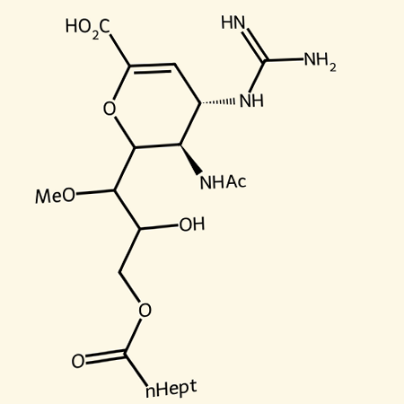 CCCCCCCC(=O)OCC(O)C(OC)C1OC(C(=O)O)=C[C@H](NC(=N)N)[C@H]1NC(C)=O